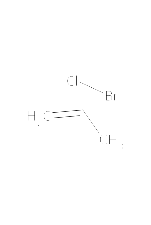 C=CC.ClBr